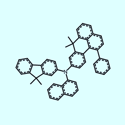 CC1(C)c2ccccc2-c2ccc(N(c3ccc4c(c3)C(C)(C)c3cccc5ccc(-c6ccccc6)c-4c35)c3cccc4ccccc34)cc21